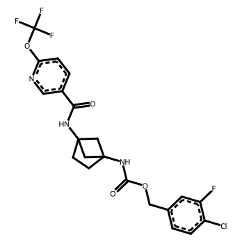 O=C(NC12CCC(NC(=O)c3ccc(OC(F)(F)F)nc3)(C1)C2)OCc1ccc(Cl)c(F)c1